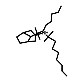 CCCCCCCC(C)(C)NC1CC2CCC(C1)C2C(C)(C)CCCCCC